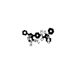 NC1NC=Nn2c(C3CCCCC3)cc(-c3ccc(NC(=O)c4c5n(n(-c6ccccc6)c4=O)CCOC5)cc3)c21